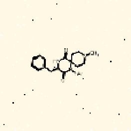 CCCN1C(=O)C(Cc2ccccc2)NC(=O)C12CCN(C)CC2